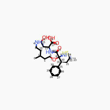 CC(CCN)CCOC(N)(C(=O)NC(CCO)C(=O)O)[C@@H](C[C@@H](C)S)c1ccccc1